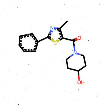 Cc1nc(-c2ccccc2)sc1C(=O)N1CCC(O)CC1